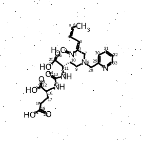 C=N/C(=C\C=C/C)CN(CC[C@H](NC(=O)N[C@@H](CCC(=O)O)C(=O)O)C(=O)O)Cc1ccccn1